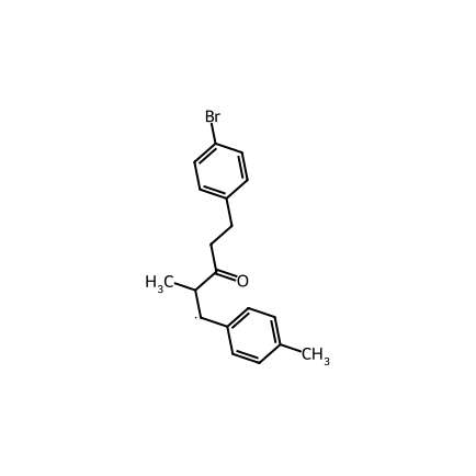 Cc1ccc([CH]C(C)C(=O)CCc2ccc(Br)cc2)cc1